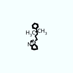 CC(C)(CCCn1cnc2ccccc21)c1ccccc1